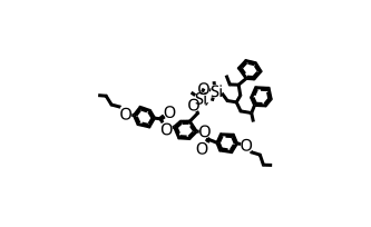 CCCCOc1ccc(C(=O)Oc2ccc(OC(=O)c3ccc(OCCCC)cc3)c(CO[Si](C)(C)O[Si](C)(C)CCC(CC(C)c3ccccc3)CC(CC)c3ccccc3)c2)cc1